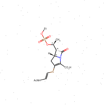 CCOS(=O)(=O)O[C@@H](C)[C@@H]1C(=O)N2C(C(=O)O)=C(SC=CNC(C)=O)C[C@H]12